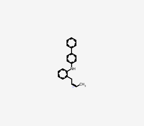 C/C=C\Cc1ccccc1Nc1ccc(-c2ccccc2)cc1